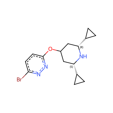 Brc1ccc(OC2C[C@@H](C3CC3)N[C@@H](C3CC3)C2)nn1